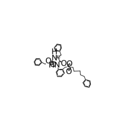 O=C(N[C@@H](Cc1ccccc1)C(=O)Nc1ccccc1CS(=O)(=O)CCCCCc1ccccc1)OCc1ccccc1